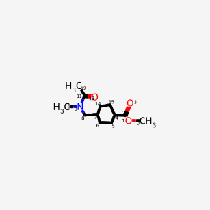 COC(=O)C1CCC(CN(C)C(C)=O)CC1